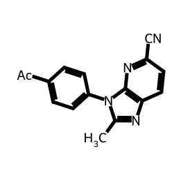 CC(=O)c1ccc(-n2c(C)nc3ccc(C#N)nc32)cc1